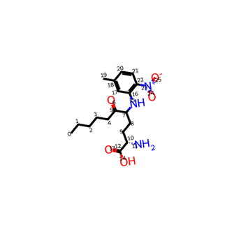 CCCCCC(=O)C(CC[C@H](N)C(=O)O)Nc1cc(C)ccc1[N+](=O)[O-]